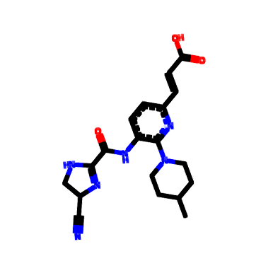 CC1CCN(c2nc(/C=C/C(=O)O)ccc2NC(=O)C2=NC(C#N)CN2)CC1